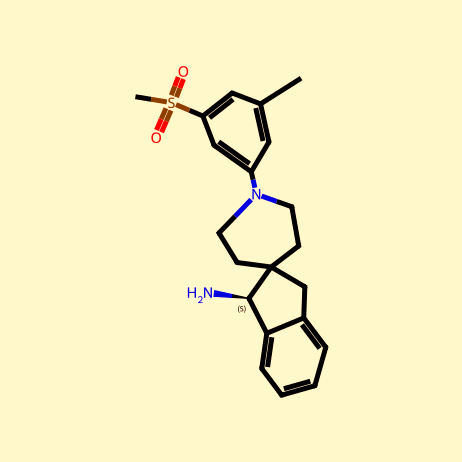 Cc1cc(N2CCC3(CC2)Cc2ccccc2[C@H]3N)cc(S(C)(=O)=O)c1